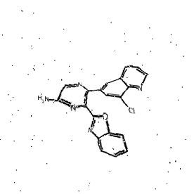 Nc1cnc(-c2cc(Cl)c3ncccc3c2)c(-c2nc3ccccc3o2)n1